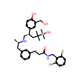 C[C@H](Cc1cccc(CCC(=O)NCc2c(Cl)cccc2Cl)c1)NC[C@H](CC(C)(C)[Si](C)(C)O)c1ccc(O)c(CO)c1